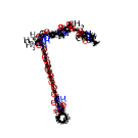 COc1cc2c(cc1OCCCOc1cc3c(cc1OC)C(=O)N1C=C(C4CC4)C[C@H]1C=N3)N=C[C@@H]1CC(c3ccc(NC(=O)[C@H](C)NC(=O)C(NC(=O)CCOCCOCCOCCOCCOCCOCCOCCOCCNC(=O)CCN4C(=O)CC(C5CCCCCCCCCC5)C4=O)C(C)C)cc3)=CN1C2=O